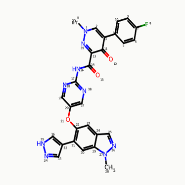 CC(C)n1cc(-c2ccc(F)cc2)c(=O)c(C(=O)Nc2ncc(Oc3cc4cnn(C)c4cc3-c3cn[nH]c3)cn2)n1